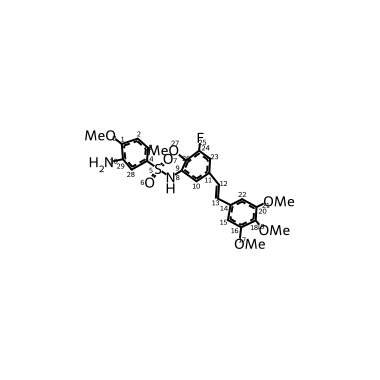 COc1ccc(S(=O)(=O)Nc2cc(C=Cc3cc(OC)c(OC)c(OC)c3)cc(F)c2OC)cc1N